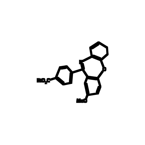 CCOC(=O)c1ccc(C2=NC3=C(CCC=C3)Oc3ccc(OC)cc32)cc1